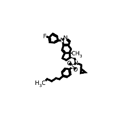 CCCCCc1ccc(S(=O)(=O)N(CC2CC2)C[C@H]2CCC3=Cc4c(cnn4-c4ccc(F)cc4)C[C@@]32C)cc1